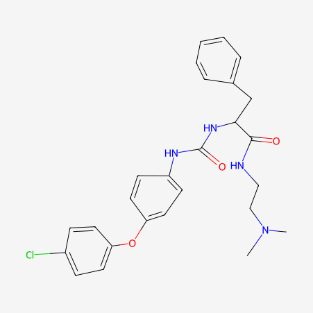 CN(C)CCNC(=O)C(Cc1ccccc1)NC(=O)Nc1ccc(Oc2ccc(Cl)cc2)cc1